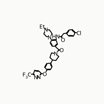 CCN1CCN(c2ccc(C(=O)N3CCC(c4ccc(Oc5ccc(C(F)(F)F)nn5)cc4)CC3)cc2NC(=O)Cc2ccc(Cl)cc2)CC1